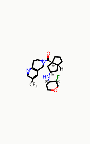 O=C(N1CCc2ncc(C(F)(F)F)cc2C1)[C@@]12CCC[C@@H]1C[C@@H](N[C@@H]1CCOC[C@@H]1F)C2